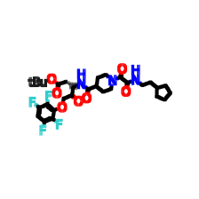 CC(C)(C)OC(=O)C[C@H](NC(=O)C1CCN(C(=O)C(=O)NCCC2CCCC2)CC1)C(=O)COc1c(F)c(F)cc(F)c1F